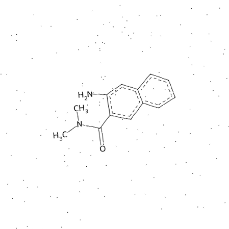 CN(C)C(=O)c1cc2ccccc2cc1N